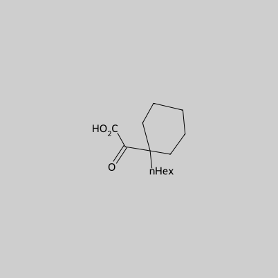 CCCCCCC1(C(=O)C(=O)O)CCCCC1